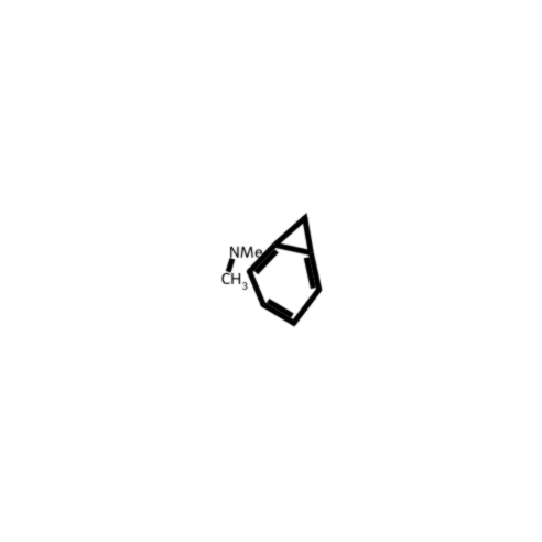 CNC.c1ccc2c(c1)C2